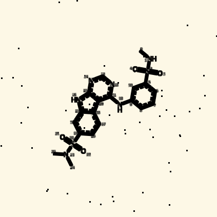 CNS(=O)(=O)c1cccc(Nc2ncnc3[nH]c4cc(S(=O)(=O)N(C)C)ccc4c23)c1